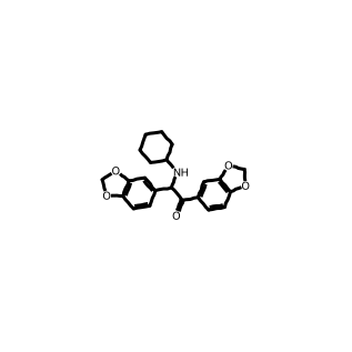 O=C(c1ccc2c(c1)OCO2)C(NC1CCCCC1)c1ccc2c(c1)OCO2